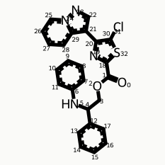 O=C(OCC(Nc1ccccc1)c1ccccc1)c1nc(-c2cnn3ccccc23)c(Cl)s1